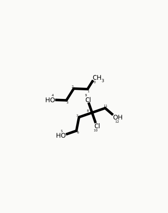 CCCCO.OCCC(Cl)(Cl)CO